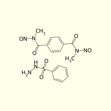 CN(N=O)C(=O)c1ccc(C(=O)N(C)N=O)cc1.NNS(=O)(=O)c1ccccc1